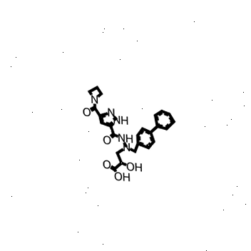 O=C(NN(Cc1ccc(-c2ccccc2)cc1)CC(O)C(=O)O)c1cc(C(=O)N2CCC2)n[nH]1